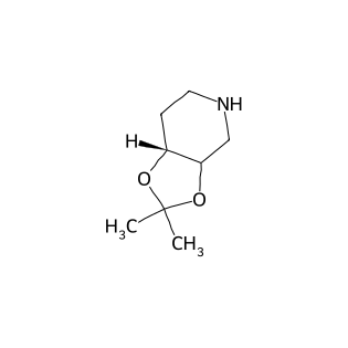 CC1(C)OC2CNCC[C@H]2O1